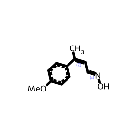 COc1ccc(/C(C)=C\C=N\O)cc1